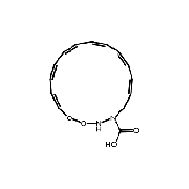 O=C(O)N1CC=CC=CC=CC=CC=CC=COON1